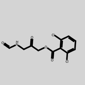 O=CNCC(=O)COC(=O)c1c(Cl)cccc1Cl